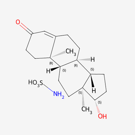 C[C@]12CC[C@H]3[C@@H](CCC4=CC(=O)CC[C@@]43C)[C@@H]1CC[C@@H]2O.NS(=O)(=O)O